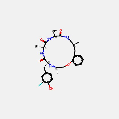 CCC[C@@H]1NC(=O)[C@@H](C(C)C)NC(=O)[C@@H](Cc2ccc(O)c(F)c2)N[C@@H](C)COc2ccccc2C[C@H](C)CNC1=O